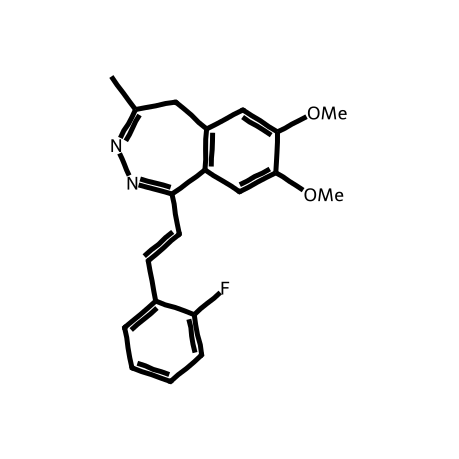 COc1cc2c(cc1OC)C(/C=C/c1ccccc1F)=NN=C(C)C2